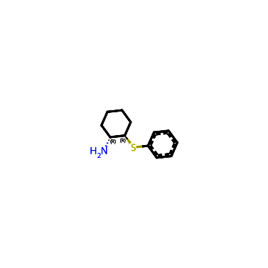 N[C@@H]1CCCC[C@H]1Sc1ccccc1